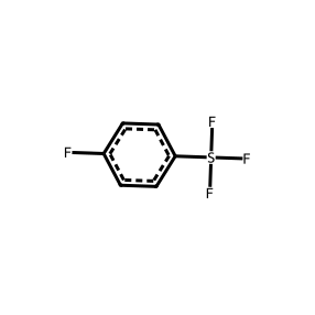 Fc1ccc(S(F)(F)F)cc1